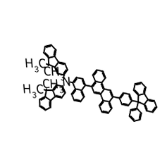 CC1(C)c2ccccc2-c2ccc(N(c3ccc4c(c3)C(C)(C)c3ccccc3-4)c3ccc(-c4cc5c6ccccc6c(-c6ccc(C7(c8ccccc8)c8ccccc8-c8ccccc87)cc6)cc5c5ccccc45)c4ccccc34)cc21